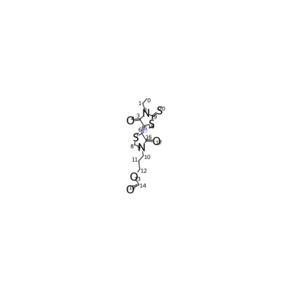 CCN1C(=O)/C(=C2\SCN(CCCOC=O)C2=O)SC1=S